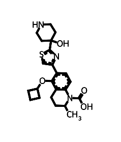 CC1CCc2c(ccc(-c3csc(C4(O)CCNCC4)n3)c2OC2CCC2)N1C(=O)O